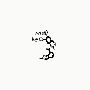 COc1cc2c(cc1OC)N(C(C)c1cccc3cn(C)nc13)C(C)N=C2